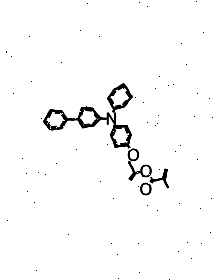 C=C(COc1ccc(N(c2ccccc2)c2ccc(-c3ccccc3)cc2)cc1)OC(=O)C(=C)C